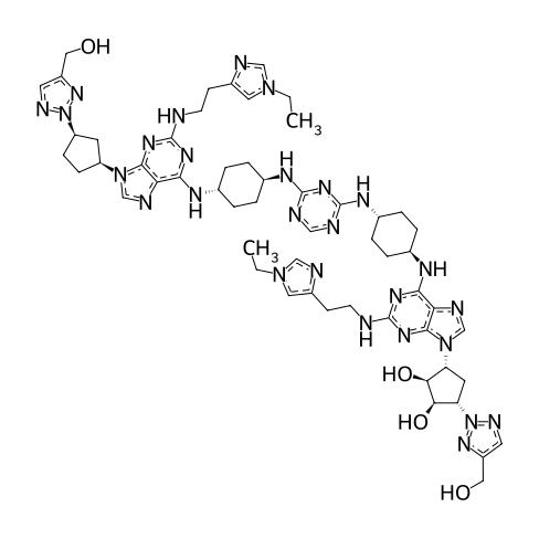 CCn1cnc(CCNc2nc(N[C@H]3CC[C@H](Nc4ncnc(N[C@H]5CC[C@H](Nc6nc(NCCc7cn(CC)cn7)nc7c6ncn7[C@@H]6C[C@H](n7ncc(CO)n7)[C@@H](O)[C@H]6O)CC5)n4)CC3)c3ncn([C@H]4CC[C@@H](n5ncc(CO)n5)C4)c3n2)c1